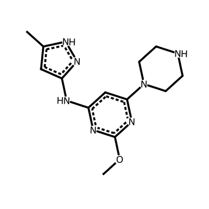 COc1nc(Nc2cc(C)[nH]n2)cc(N2CCNCC2)n1